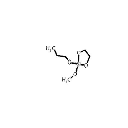 CCCO[Si]1(OC)OCCO1